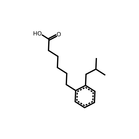 CC(C)Cc1ccccc1CCCCCC(=O)O